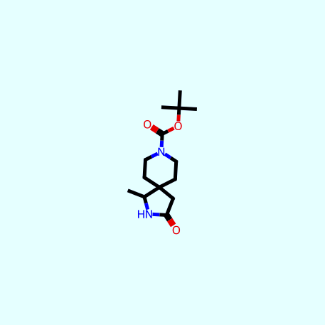 CC1NC(=O)CC12CCN(C(=O)OC(C)(C)C)CC2